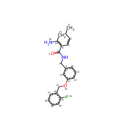 CC/C=C\C(C(=O)NCc1cccc(OCc2ccccc2F)c1)=C(/C)N